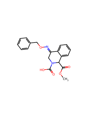 COC(=O)C1c2ccccc2C(=NOCc2ccccc2)CN1C(=O)O